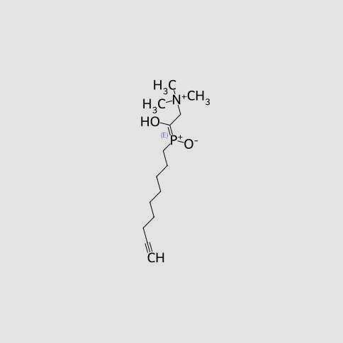 C#CCCCCCCC/[P+]([O-])=C(\O)C[N+](C)(C)C